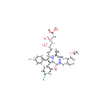 COc1cccc(CNC(=O)c2c(-c3ccc(F)cc3)c(-c3ccc(F)cc3)c(C=C[C@H](O)C[C@@H](O)CC(=O)O)n2C(C)C)c1